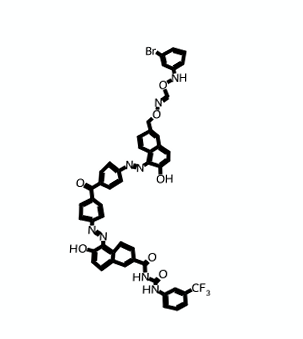 O=C(NC(=O)c1ccc2c(N=Nc3ccc(C(=O)c4ccc(N=Nc5c(O)ccc6cc(CO/N=C/ONc7cccc(Br)c7)ccc56)cc4)cc3)c(O)ccc2c1)Nc1cccc(C(F)(F)F)c1